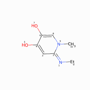 CC/N=c1/cc(O)c(O)cn1C